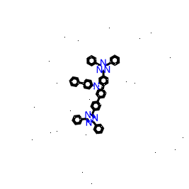 c1ccc(-c2ccc(-n3c4cc(-c5ccc(-c6nc(-c7ccccc7)nc(-c7ccccc7)n6)cc5)ccc4c4ccc(-c5nc(-c6ccccc6)nc(-c6ccccc6)n5)cc43)cc2)cc1